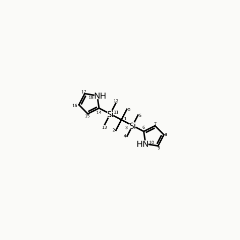 CC(C)([Si](C)(C)c1ccc[nH]1)[Si](C)(C)c1ccc[nH]1